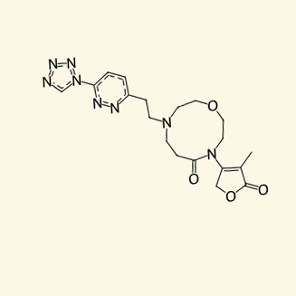 CC1=C(N2CCOCCN(CCc3ccc(-n4cnnn4)nn3)CCC2=O)COC1=O